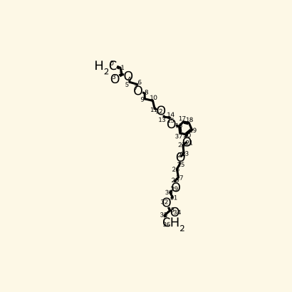 C=CC(=O)OCCOCCCCOCCOc1cccc(OCCOCCCCOCCOC(=O)C=C)c1